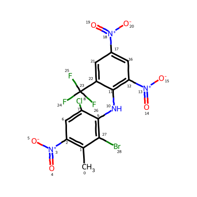 Cc1c([N+](=O)[O-])cc(Cl)c(Nc2c([N+](=O)[O-])cc([N+](=O)[O-])cc2C(F)(F)F)c1Br